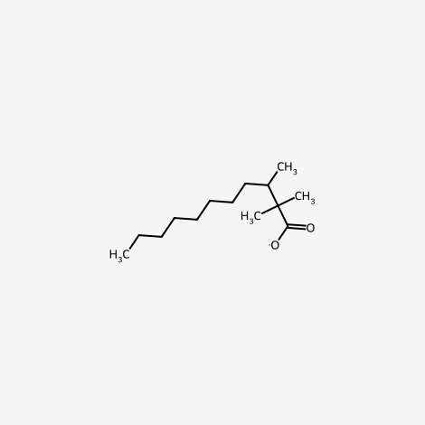 CCCCCCCCC(C)C(C)(C)C([O])=O